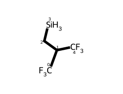 FC(F)(F)C(C[SiH3])C(F)(F)F